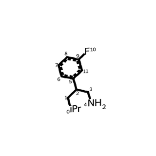 CC(C)CC(CN)c1cccc(F)c1